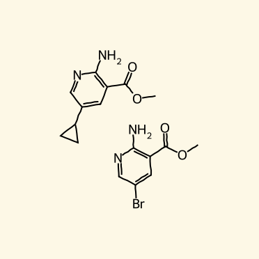 COC(=O)c1cc(Br)cnc1N.COC(=O)c1cc(C2CC2)cnc1N